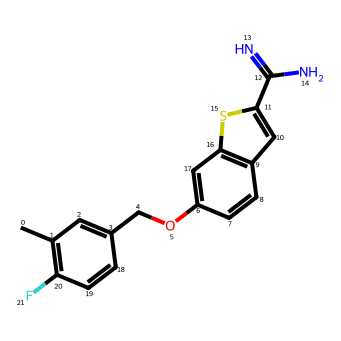 Cc1cc(COc2ccc3cc(C(=N)N)sc3c2)ccc1F